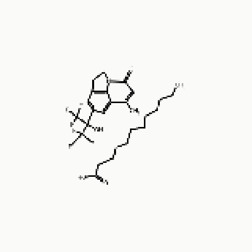 CCCCCCCCCCCC(=O)O.Cc1cc(=O)n2c3c(cc(C(O)(C(F)(F)F)C(F)(F)F)cc13)CC2